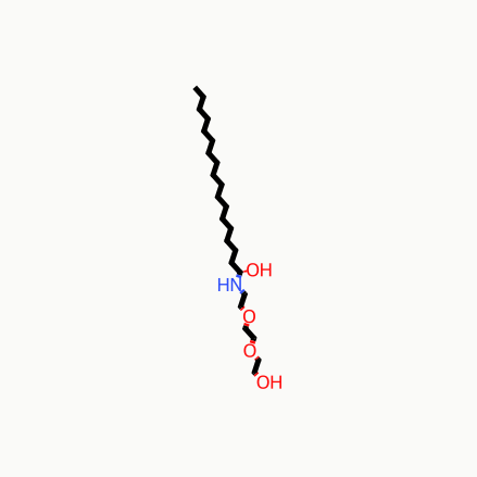 CCCCCCCCCCCCCCCCC[C@H](O)NCCOCCOCCO